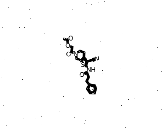 CC(=O)OCC(=O)N1CCc2c(sc(NC(=O)CCc3ccccc3)c2C#N)C1